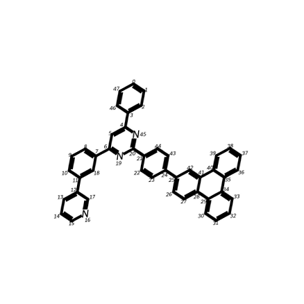 c1ccc(-c2cc(-c3cccc(-c4cccnc4)c3)nc(-c3ccc(-c4ccc5c6ccccc6c6ccccc6c5c4)cc3)n2)cc1